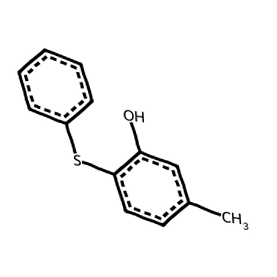 Cc1ccc(Sc2ccccc2)c(O)c1